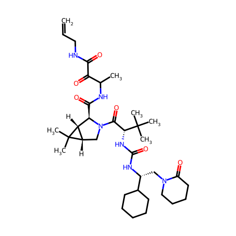 C=CCNC(=O)C(=O)C(C)NC(=O)[C@@H]1[C@@H]2[C@H](CN1C(=O)[C@@H](NC(=O)N[C@H](CN1CCCCC1=O)C1CCCCC1)C(C)(C)C)C2(C)C